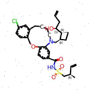 C=CC[C@H](O)[C@@H]1CC[C@H]1CN1CCCCc2cc(Cl)ccc2COc2ccc(C(=O)NS(=O)(=O)C[C@H](C)C=C)cc21